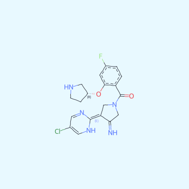 N=C1CN(C(=O)c2ccc(F)cc2O[C@@H]2CCNC2)C/C1=C1\N=CC(Cl)=CN1